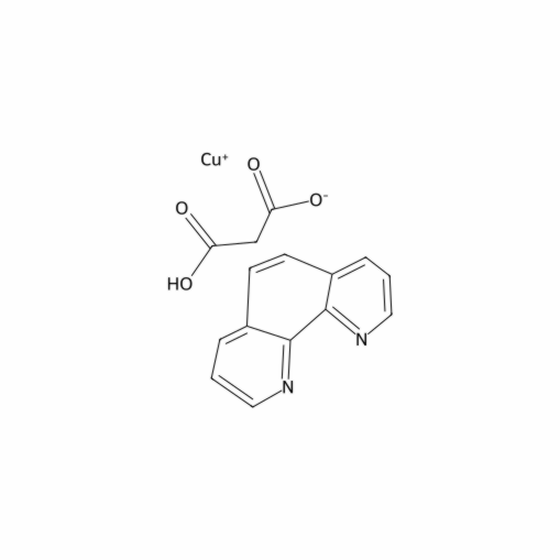 O=C([O-])CC(=O)O.[Cu+].c1cnc2c(c1)ccc1cccnc12